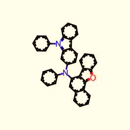 c1ccc(N(c2ccc3c4ccccc4n(-c4ccccc4)c3c2)c2cc3ccccc3c3oc4ccccc4c23)cc1